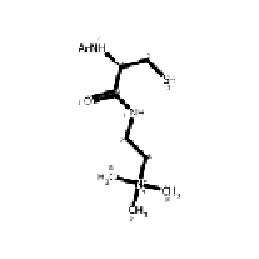 CC(=O)N[C@@H](CS)C(=O)NCC[N+](C)(C)C